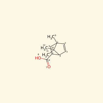 CC12C=CC(C(C(=O)O)C1)C2(C)C